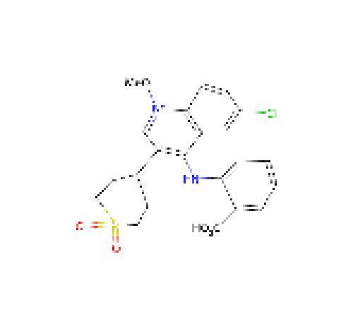 CO[n+]1cc(C2CCS(=O)(=O)CC2)c(Nc2ccccc2C(=O)O)c2cc(Cl)ccc21